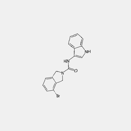 O=C(Nc1c[nH]c2ccccc12)N1Cc2cccc(Br)c2C1